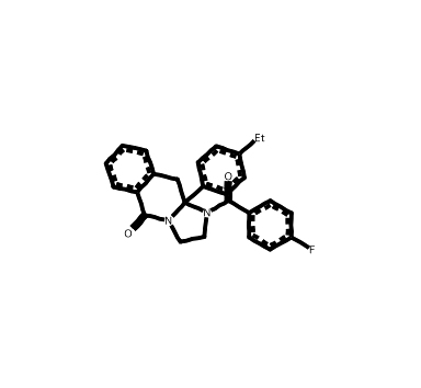 CCc1ccc(C23Cc4ccccc4C(=O)N2CCN3C(=O)c2ccc(F)cc2)cc1